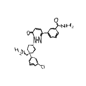 NC[C@]1(c2cccc(Cl)c2)CC[C@@H](n2nc(-c3cccc(C(N)=O)c3)ccc2=O)CC1